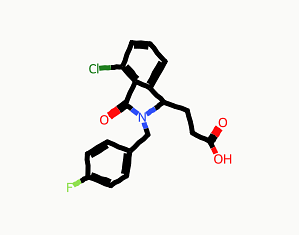 O=C(O)CCC1c2cccc(Cl)c2C(=O)N1Cc1ccc(F)cc1